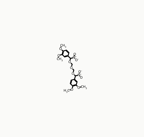 COc1ccc(C(OCOCOC(c2ccc(OC)c(OC)c2)[N+](=O)[O-])[N+](=O)[O-])cc1OC